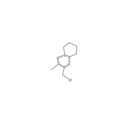 Cc1cc2c(cc1CCl)CCCC2